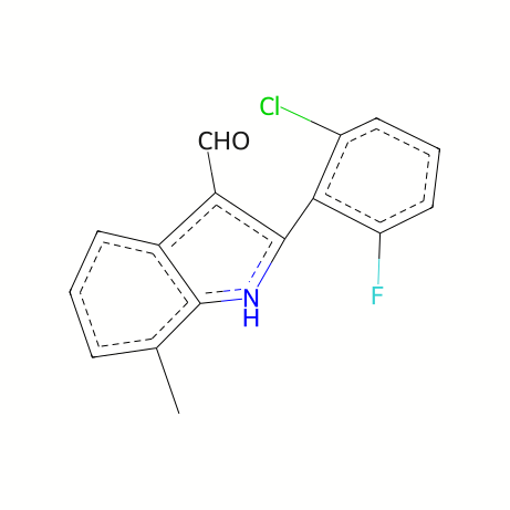 Cc1cccc2c(C=O)c(-c3c(F)cccc3Cl)[nH]c12